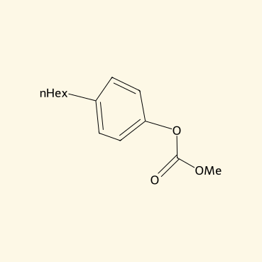 CCCCCCc1ccc(OC(=O)OC)cc1